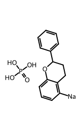 O=P(O)(O)O.[Na][c]1cccc2c1CCC(c1ccccc1)O2